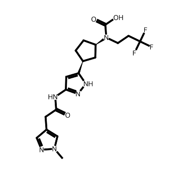 Cn1cc(CC(=O)Nc2cc([C@H]3CC[C@@H](N(CCC(F)(F)F)C(=O)O)C3)[nH]n2)cn1